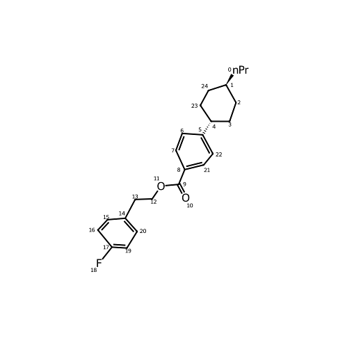 CCC[C@H]1CC[C@H](c2ccc(C(=O)OCCc3ccc(F)cc3)cc2)CC1